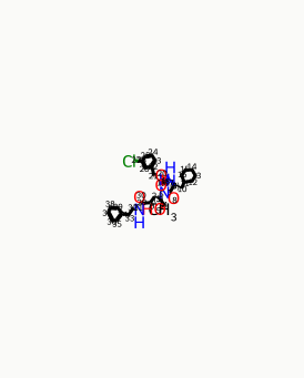 CC(C[C@@H](CO)NC(=O)[C@H](CC1CCCCC1)NC(=O)OCc1cccc(Cl)c1)C(=O)NCCc1ccccc1